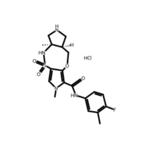 Cc1cc(NC(=O)c2c3c(cn2C)S(=O)(=O)N[C@@]2(C)CNC[C@H]2CO3)ccc1F.Cl